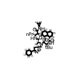 CCC[C@H](NC(=O)[C@@H]1C[C@]2(CC(c3ccccc3)=NO2)CN1C(=O)[C@@H](NS(=O)(=O)c1cccc2ccccc12)C(C)(C)C)C(=O)C(=O)NC1CC1